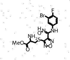 COC(=O)C(N)CSc1nonc1C(=NO)Nc1ccc(F)c(Br)c1